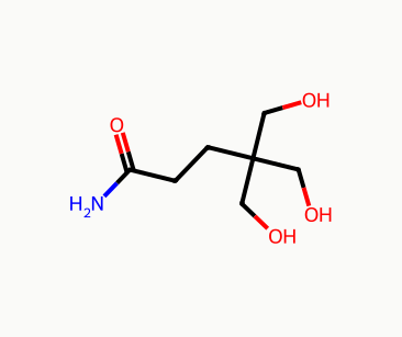 NC(=O)CCC(CO)(CO)CO